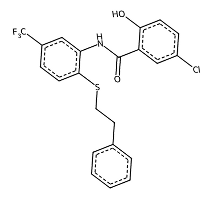 O=C(Nc1cc(C(F)(F)F)ccc1SCCc1ccccc1)c1cc(Cl)ccc1O